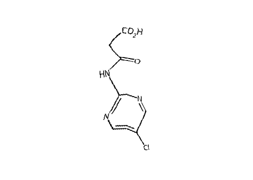 O=C(O)CC(=O)Nc1ncc(Cl)cn1